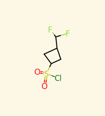 O=S(=O)(Cl)C1CC(C(F)F)C1